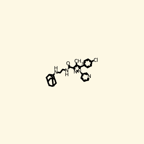 Cc1c(C(=O)NCCNC2C3CC4CC(C3)CC2C4)nn(-c2cccnc2)c1-c1ccc(Cl)cc1